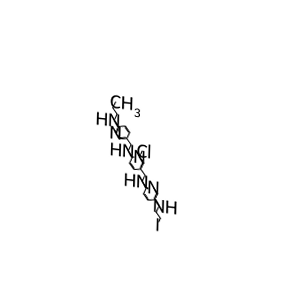 CCCNc1ccc(CNC2C=CC(CNc3ccc(NCCI)cn3)=CN2Cl)cn1